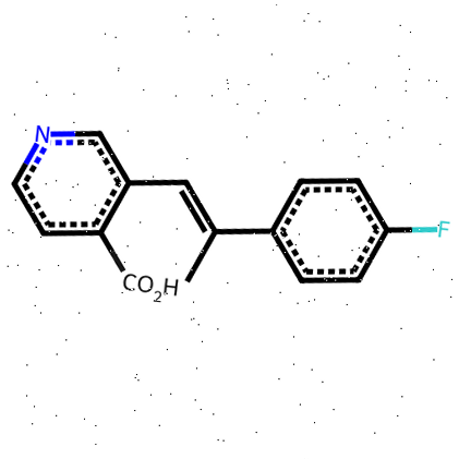 C/C(=C\c1cnccc1C(=O)O)c1ccc(F)cc1